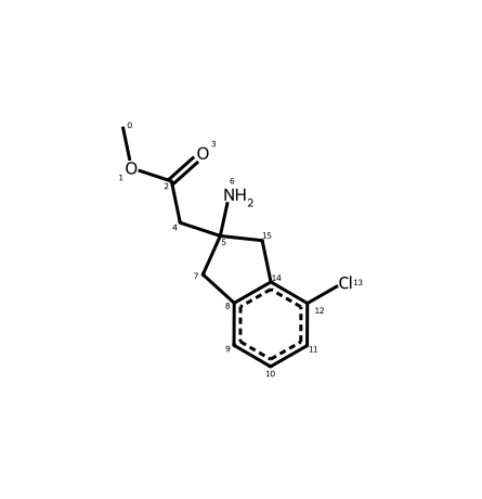 COC(=O)CC1(N)Cc2cccc(Cl)c2C1